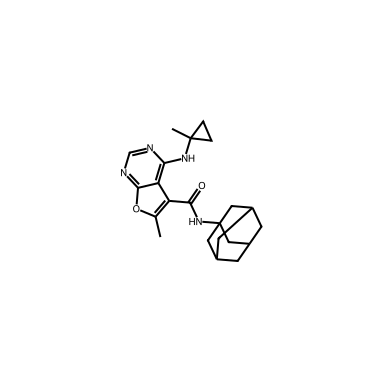 Cc1oc2ncnc(NC3(C)CC3)c2c1C(=O)NC12CC3CC(CC(C3)C1)C2